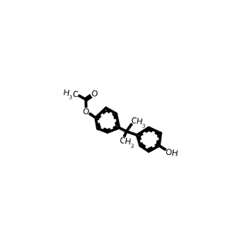 CC(=O)Oc1ccc(C(C)(C)c2ccc(O)cc2)cc1